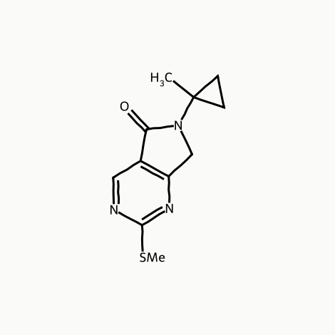 CSc1ncc2c(n1)CN(C1(C)CC1)C2=O